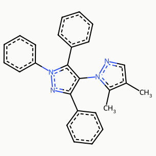 Cc1cnn(-c2c(-c3ccccc3)nn(-c3ccccc3)c2-c2ccccc2)c1C